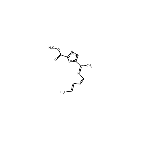 C/C=C/C=C\N=C(/C)c1nnc(C(=O)OC)s1